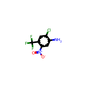 Nc1cc([N+](=O)[O-])c(C(F)(F)F)cc1Cl